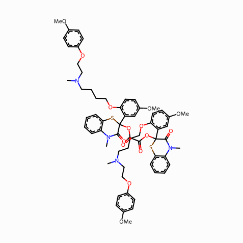 COc1ccc(OCCN(C)CCCCOc2ccc(OC)cc2C2(OC(=O)C(=O)OC3(c4cc(OC)ccc4OCCCCN(C)CCOc4ccc(OC)cc4)Sc4ccccc4N(C)C3=O)Sc3ccccc3N(C)C2=O)cc1